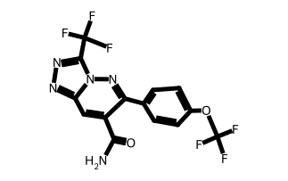 NC(=O)c1cc2nnc(C(F)(F)F)n2nc1-c1ccc(OC(F)(F)F)cc1